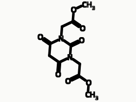 COC(=O)CN1C(=O)CC(=O)N(CC(=O)OC)C1=O